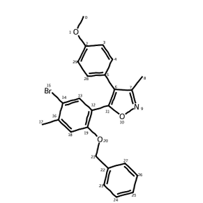 COc1ccc(-c2c(C)noc2-c2cc(Br)c(C)cc2OCc2ccccc2)cc1